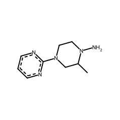 CC1CN(c2ncccn2)CCN1N